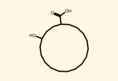 O=C(O)C1CCCCCCCCCCCCCCC(O)CC1